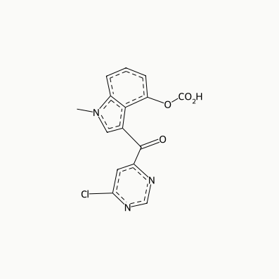 Cn1cc(C(=O)c2cc(Cl)ncn2)c2c(OC(=O)O)cccc21